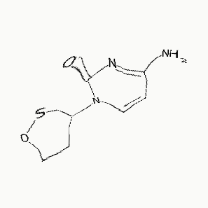 Nc1ccn(C2CCOS2)c(=O)n1